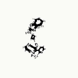 Cc1ncccc1-c1nccnc1O[C@H]1C[C@@H](Nc2nc3ccccc3s2)C1